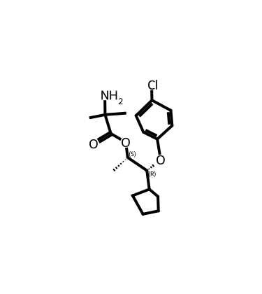 C[C@H](OC(=O)C(C)(C)N)[C@H](Oc1ccc(Cl)cc1)C1CCCC1